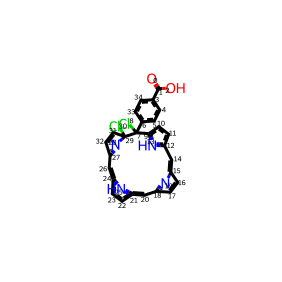 O=C(O)c1ccc(C2(Cl)c3ccc([nH]3)C=C3C=CC(=N3)C=c3ccc([nH]3)=CC3=NC2(Cl)C=C3)cc1